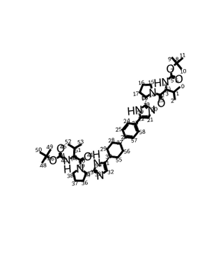 CC(C)[C@H](NC(=O)OC(C)(C)C)C(=O)N1CCC[C@H]1c1ncc(-c2ccc([C@H]3CC[C@H](c4cnc([C@@H]5CCCN5C(=O)[C@@H](NC(=O)OC(C)(C)C)C(C)C)[nH]4)CC3)cc2)[nH]1